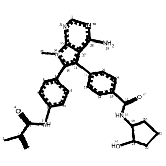 C=C(C)C(=O)Nc1ccc(-c2c(-c3ccc(C(=O)NC4CCCC4O)cc3)c3c(N)ncnc3n2C)cc1